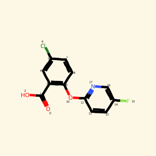 O=C(O)c1cc(Cl)ccc1Oc1ccc(F)cn1